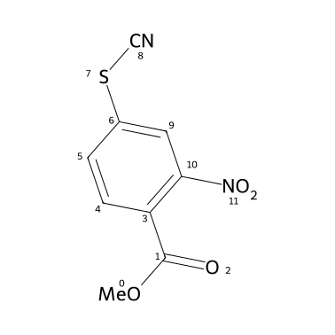 COC(=O)c1ccc(SC#N)cc1[N+](=O)[O-]